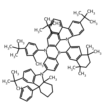 Cc1cc(C(C)(C)C)ccc1N1c2cc(N3c4ccc(C(C)(C)C)cc4C4(c5ccccc5)CCCCC34C)ccc2B2c3cc4c(cc3N(c3ccc(C(C)(C)C)cc3-c3ccccc3)c3cc(C(C)(C)C)cc1c32)C(C)(C)CCC4(C)C